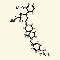 COc1ccccc1C(CCN1CCC2(CC1)CCN(Cc1ccc(S(C)(=O)=O)cc1)C2=O)NC(=O)OC(C)(C)C